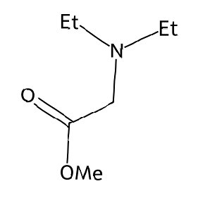 CCN(CC)CC(=O)OC